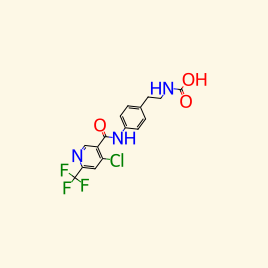 O=C(O)NCCc1ccc(NC(=O)c2cnc(C(F)(F)F)cc2Cl)cc1